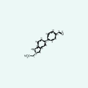 CCn1cc2cc(-c3ccc(C=O)cc3)ccc2n1